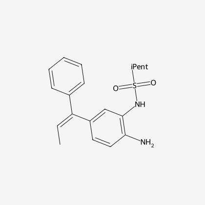 CC=C(c1ccccc1)c1ccc(N)c(NS(=O)(=O)C(C)CCC)c1